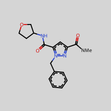 CNC(=O)c1cc(C(=O)NC2CCOC2)n(Cc2ccccc2)n1